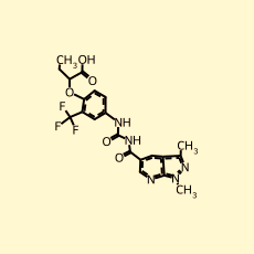 CCC(Oc1ccc(NC(=O)NC(=O)c2cnc3c(c2)c(C)nn3C)cc1C(F)(F)F)C(=O)O